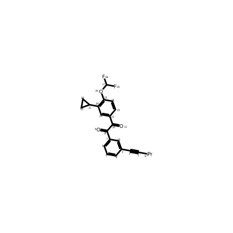 CC(C)C#Cc1cccc(C(=O)C(=O)c2ccc(OC(F)F)c(C3CC3)c2)c1